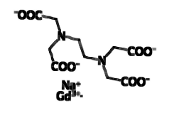 O=C([O-])CN(CCN(CC(=O)[O-])CC(=O)[O-])CC(=O)[O-].[Gd+3].[Na+]